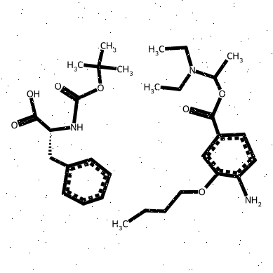 CC(C)(C)OC(=O)N[C@H](Cc1ccccc1)C(=O)O.CCCCOc1cc(C(=O)OC(C)N(CC)CC)ccc1N